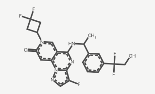 CC(Nc1nc2c(F)cnn2c2cc(=O)n(C3CC(F)(F)C3)cc12)c1cccc(C(F)(F)CO)c1